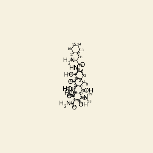 CC1c2ccc(NC(=O)[C@@H](N)CC3CCCCC3)c(O)c2C(=O)C2=C(O)[C@]3(O)C(=O)C(C(N)=O)=C(O)[C@@H](N(C)C)C3C(O)C21